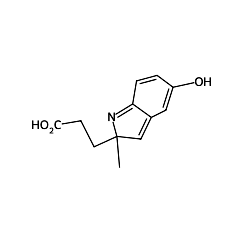 CC1(CCC(=O)O)C=c2cc(O)ccc2=N1